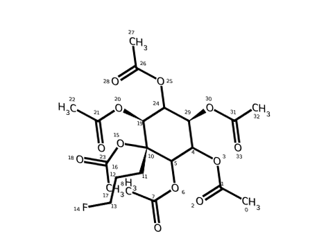 CC(=O)OC1C(OC(C)=O)[C@](CCCF)(OC(C)=O)[C@@H](OC(C)=O)C(OC(C)=O)[C@H]1OC(C)=O